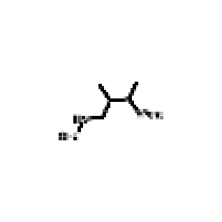 CCCCCC(C)C(C)CNC=O